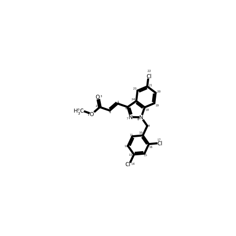 COC(=O)C=Cc1nn(Cc2ccc(Cl)cc2Cl)c2ccc(Cl)cc12